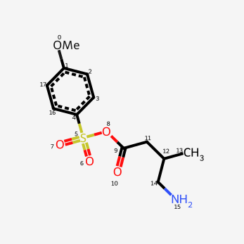 COc1ccc(S(=O)(=O)OC(=O)CC(C)CN)cc1